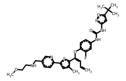 C=C/C=C(/Oc1ccc(NC(=O)Nc2cc(C(C)(C)C)on2)cc1F)c1sc(-c2ccc(CNCCOC)cn2)cc1C